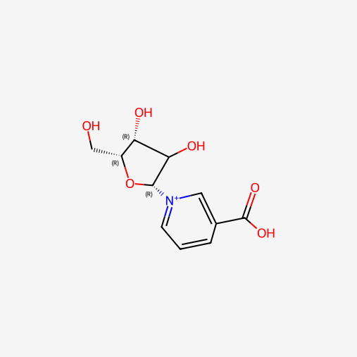 O=C(O)c1ccc[n+]([C@@H]2O[C@H](CO)[C@H](O)C2O)c1